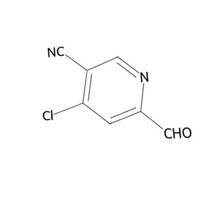 N#Cc1cnc(C=O)cc1Cl